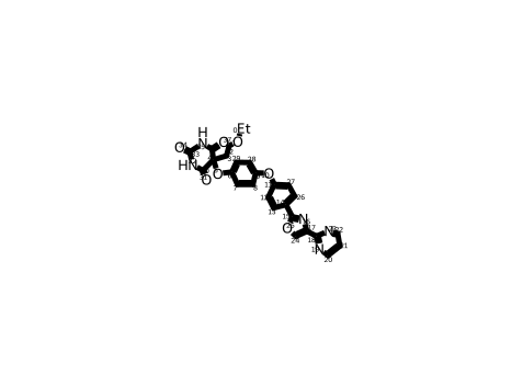 CCOCCC1(Oc2ccc(Oc3ccc(-c4nc(-c5ncccn5)co4)cc3)cc2)C(=O)NC(=O)NC1=O